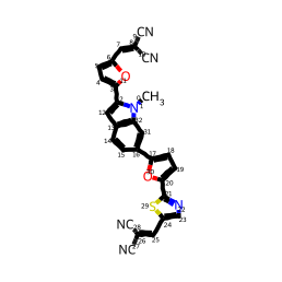 Cn1c(-c2ccc(C=C(C#N)C#N)o2)cc2ccc(-c3ccc(-c4ncc(C=C(C#N)C#N)s4)o3)cc21